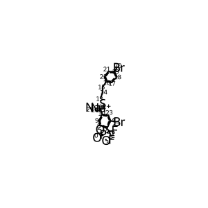 O=P([O-])([O-])C(F)(F)c1ccc(CSCCCc2ccc(Br)cc2)cc1Br.[Na+].[Na+]